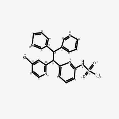 CS(=O)(=O)Nc1cccc(C(c2cc(Cl)ccn2)C(c2cccnc2)c2cccnc2)n1